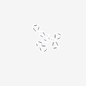 c1ccc(-n2cc3nc(-n4c5ccccc5c5ccccc54)nc(-c4cccc5ccccc45)c3c2)cc1